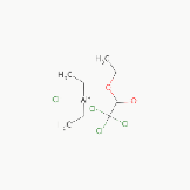 CCOC(=O)C(Cl)(Cl)Cl.C[CH2][Al+][CH2]C.[Cl-]